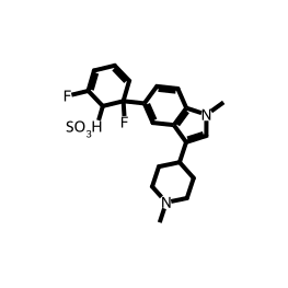 CN1CCC(c2cn(C)c3ccc(C4(F)C=CC=C(F)C4S(=O)(=O)O)cc23)CC1